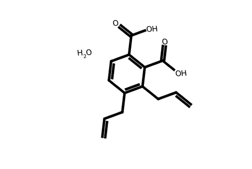 C=CCc1ccc(C(=O)O)c(C(=O)O)c1CC=C.O